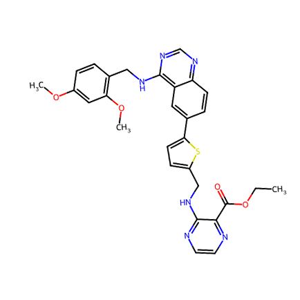 CCOC(=O)c1nccnc1NCc1ccc(-c2ccc3ncnc(NCc4ccc(OC)cc4OC)c3c2)s1